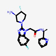 C[C@H](NC(=O)Cn1c(N2CC[C@@H](F)[C@H](N)C2)nc2ccc(F)cc21)c1ccccn1